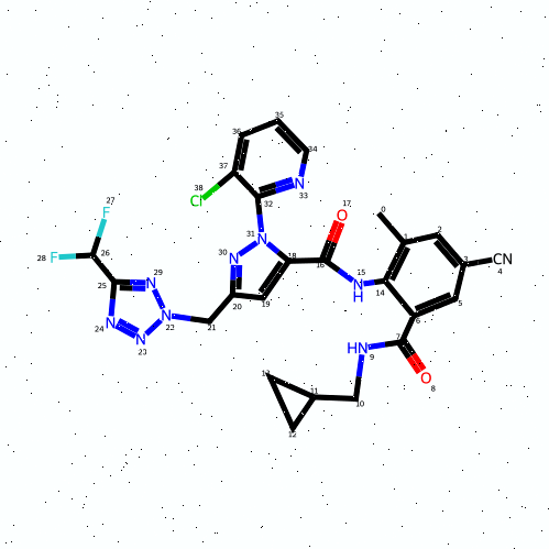 Cc1cc(C#N)cc(C(=O)NCC2CC2)c1NC(=O)c1cc(Cn2nnc(C(F)F)n2)nn1-c1ncccc1Cl